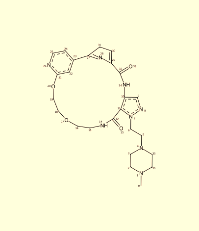 CN1CCN(CCn2ncc3c2C(=O)NCCOCCOc2cc(ccn2)C2=NC(=CC2)C(=O)N3)CC1